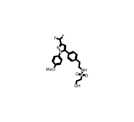 COc1ccc(-n2nc(C(F)F)cc2-c2ccc(CCNS(=O)(=O)CCO)cc2)cc1